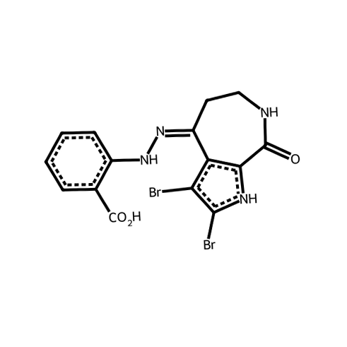 O=C(O)c1ccccc1N/N=C1/CCNC(=O)c2[nH]c(Br)c(Br)c21